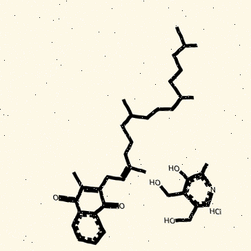 CC(=CCC1=C(C)C(=O)c2ccccc2C1=O)CCCC(C)CCCC(C)CCCC(C)C.Cc1ncc(CO)c(CO)c1O.Cl